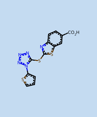 O=C(O)c1ccc2nc(Sc3nnnn3-c3cccs3)sc2c1